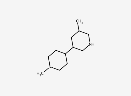 CC1CNCC(C2CCN(C)CC2)C1